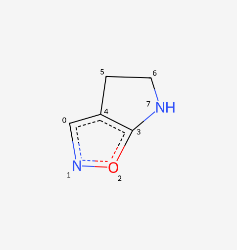 c1noc2c1CCN2